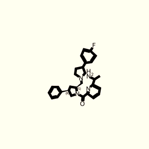 CC(N)c1cccc(C(=O)N2C[C@@H](c3ccccc3)C[C@H]2CN2CCC(c3ccc(F)cc3)C2)n1